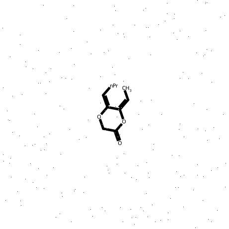 C/C=C1/OC(=O)CO/C1=C/CCC